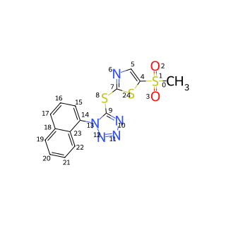 CS(=O)(=O)c1cnc(Sc2nnnn2-c2cccc3ccccc23)s1